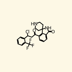 O=C(CC(Cl)c1ccccc1C(F)(F)F)c1cccc2c1C1(CCNCC1)NC2=O